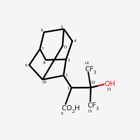 O=C(O)C(C1C2CC3CC(C2)CC1C3)C(O)(C(F)(F)F)C(F)(F)F